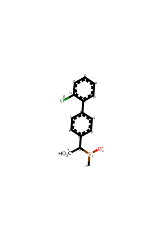 C[S+]([O-])C(C(=O)O)c1ccc(-c2ccccc2Cl)cc1